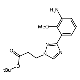 COc1c(N)cccc1-c1ncn(CCC(=O)OC(C)(C)C)n1